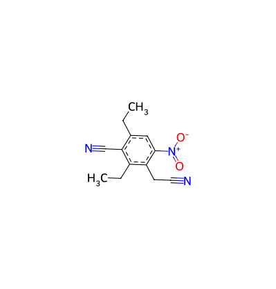 CCc1cc([N+](=O)[O-])c(CC#N)c(CC)c1C#N